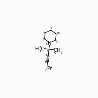 CC(C)C#CC(C)(C)N1CCCCC1